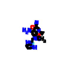 COc1c(NCCNC2(F)C=CC=CN2)cc(N)c2c(=O)c(C#N)cn(C3CC3)c12